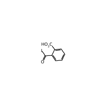 O=C(O)c1ccccc1C(=O)I